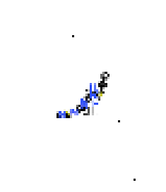 Cc1cc(/N=N/c2ccc(N3CCCC3)s2)ccc1/N=N/c1ccc(NNc2nc(-c3ccc(C4CCCCC4)cc3)cs2)c(C)c1